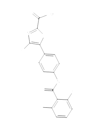 COC(=O)c1nc(C)c(-c2ccc(NC(=O)c3c(F)cccc3F)cc2)o1